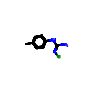 Cc1ccc(NC(N)=NCl)cc1